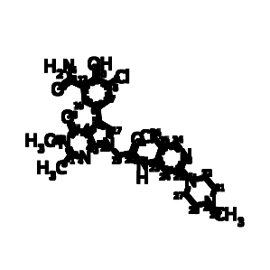 Cc1nc2c(c(-c3cc(Cl)c(O)c(C(N)=O)c3)cn2CC(=O)Nc2cc(N3CCN(C)CC3)ncc2Cl)c(=O)n1C